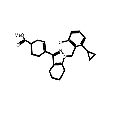 COC(=O)C1CC=C(c2nn(Cc3c(Cl)cccc3C3CC3)c3c2CCCC3)CC1